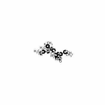 Cc1cc(-n2nc3c(c2N2C=CN(c4ccn5c(C)nnc5c4)C2O)[C@H](C)N(C(=O)c2cn4cc([C@@H]5CCOC(C)(C)C5)ccc4c2C2(c4noc(=O)[nH]4)CC2)CC3)cc(C)c1F